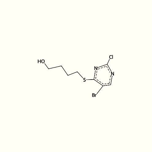 OCCCCSc1nc(Cl)ncc1Br